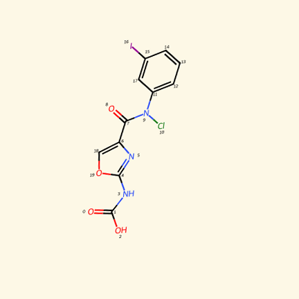 O=C(O)Nc1nc(C(=O)N(Cl)c2cccc(I)c2)co1